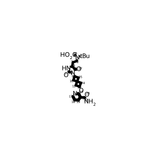 CC(C)(C)N(CCC1NC(=O)N(C2CC3(CC(Oc4ncccc4C(N)=O)C3)C2)C1=O)C(=O)O